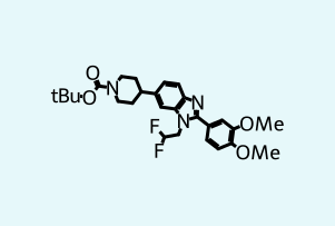 COc1ccc(-c2nc3ccc(C4CCN(C(=O)OC(C)(C)C)CC4)cc3n2CC(F)F)cc1OC